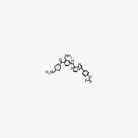 NCc1cc(Nc2nccn3c(-c4ccc(OC(F)F)cc4)cnc23)ccc1C(=O)N1CCC(CN)CC1